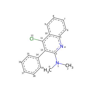 CN(C)c1nc2cc[c]cc2c(Cl)c1-c1ccccc1